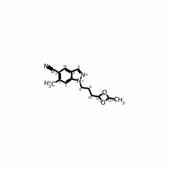 Cc1cc2c(cnn2CCCC2OC(C)O2)cc1C#N